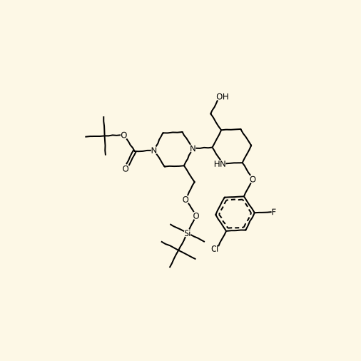 CC(C)(C)OC(=O)N1CCN(C2NC(Oc3ccc(Cl)cc3F)CCC2CO)C(COO[Si](C)(C)C(C)(C)C)C1